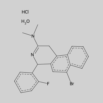 CN(C)C1=NC(c2ccccc2F)c2cc(Br)c3ccccc3c2C1.Cl.O